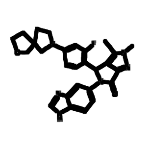 Cc1c2c(nn1C)C(=O)N(c1ccc3[nH]cnc3c1)C2c1ccc(N2CCC3(CCOC3)C2)cc1F